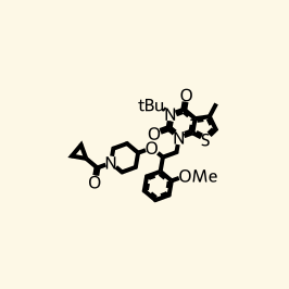 COc1ccccc1C(Cn1c(=O)n(C(C)(C)C)c(=O)c2c(C)csc21)OC1CCN(C(=O)C2CC2)CC1